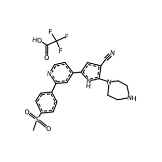 CS(=O)(=O)c1ccc(-c2cc(-c3cc(C#N)c(N4CCNCC4)[nH]3)ccn2)cc1.O=C(O)C(F)(F)F